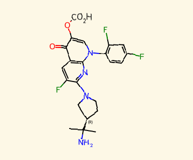 CC(C)(N)[C@@H]1CCN(c2nc3c(cc2F)c(=O)c(OC(=O)O)cn3-c2ccc(F)cc2F)C1